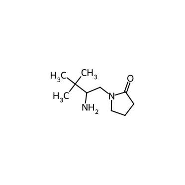 CC(C)(C)C(N)CN1CCCC1=O